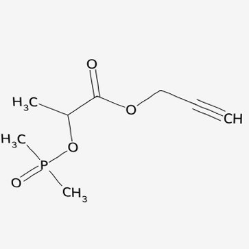 C#CCOC(=O)C(C)OP(C)(C)=O